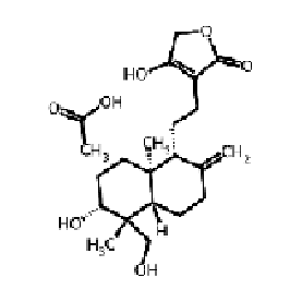 C=C1CC[C@@H]2[C@](C)(CO)[C@H](O)CC[C@@]2(C)[C@@H]1CCC1=C(O)COC1=O.CC(=O)O